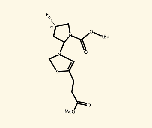 COC(=O)CCC1=CN(C2C[C@H](F)CN2C(=O)OC(C)(C)C)CS1